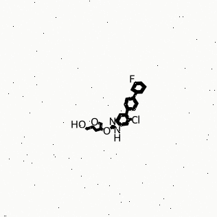 OCC1CC(Oc2nc3cc(-c4ccc(-c5cccc(F)c5)cc4)c(Cl)cc3[nH]2)CO1